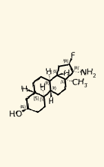 C[C@]12CC[C@H]3[C@@H](CC[C@H]4C[C@H](O)CC[C@@H]43)[C@@H]1C[C@@H](F)[C@@H]2N